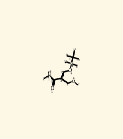 CNC(=O)C(COC)CO[Si](C)(C)C(C)(C)C